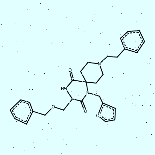 O=C1C(COCc2ccccc2)NC(=O)C2(CCN(CCc3ccccc3)CC2)N1Cc1ccco1